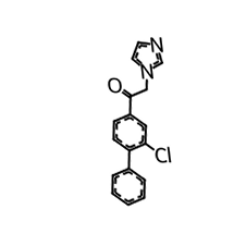 O=C(Cn1ccnc1)c1ccc(-c2ccccc2)c(Cl)c1